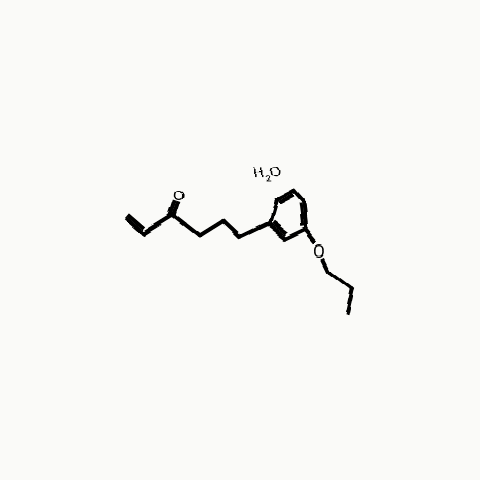 C=CC(=O)CCCc1cccc(OCCC)c1.O